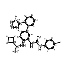 Cc1ccc(NC(=O)Nc2cc(-c3ccccc3-c3nnn[nH]3)ccc2NC(C(C)C)C2CCC2)cc1